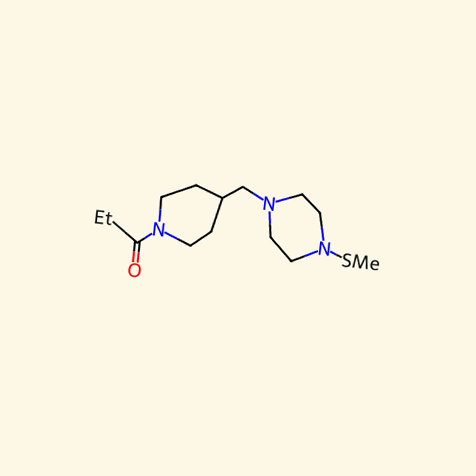 CCC(=O)N1CCC(CN2CCN(SC)CC2)CC1